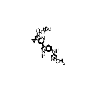 Cn1cc(Nc2ccc3c(-c4cnc5c(c4)C4(CC4)CN5C(=O)OC(C)(C)C)c[nH]c3c2)cn1